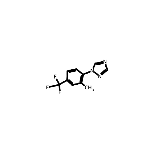 Cc1cc(C(F)(F)F)ccc1-n1cncn1